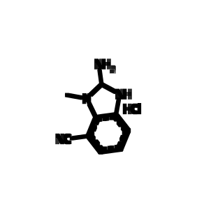 CN1c2c(C#N)cccc2NC1N.Cl